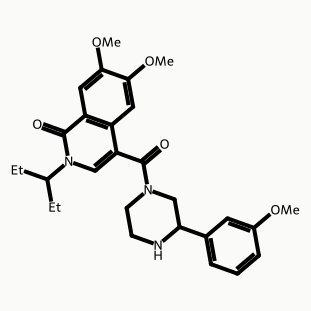 CCC(CC)n1cc(C(=O)N2CCNC(c3cccc(OC)c3)C2)c2cc(OC)c(OC)cc2c1=O